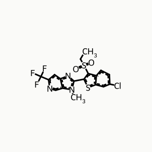 CCS(=O)(=O)c1c(-c2nc3cc(C(F)(F)F)ncc3n2C)sc2cc(Cl)ccc12